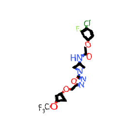 O=C(COc1ccc(Cl)c(F)c1)NC1CN(c2nnc(COC3CC(OC(F)(F)F)C3)o2)C1